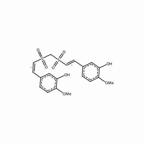 COc1ccc(/C=C\S(=O)(=O)CS(=O)(=O)/C=C/c2ccc(OC)c(O)c2)cc1O